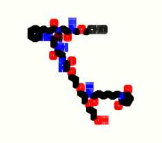 O=CCOCNC(=O)CNC(=O)[C@H](Cc1ccccc1)NC(=O)CNC(=O)CNC(=O)COCCCOCC(COCCCO)NC(=O)CCCCCN1C(=O)C=CC1=O